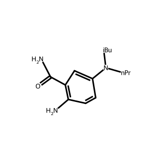 CCCN(c1ccc(N)c(C(N)=O)c1)C(C)CC